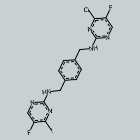 Fc1cnc(NCc2ccc(CNc3ncc(F)c(I)n3)cc2)nc1Cl